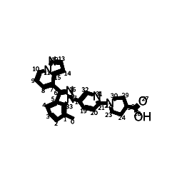 Cc1cccc2c(-c3cccn4nccc34)nn(-c3ccc(N4CCC(C(=O)O)CC4)nc3)c12